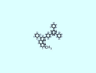 Cc1ccc2ccc3c(-c4ccccc4)cc(-c4ccc(-c5nc(-c6ccccc6)nc(-c6ccccc6)n5)cc4)nc3c2n1